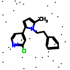 Cc1ccc(-c2ccnc(Cl)c2)n1CCc1ccccc1